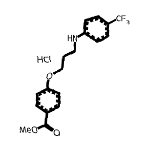 COC(=O)c1ccc(OCCCNc2ccc(C(F)(F)F)cc2)cc1.Cl